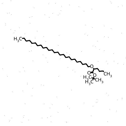 CCCCCCCCCCCCCCCCCCCCCCCCCOC(CCCC)C(=O)OC(C)(C)C